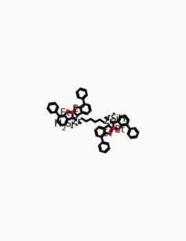 CCC1=Cc2c(-c3ccccc3)cccc2[CH]1[Zr]([CH3])([CH3])([CH2]CCCC[CH2][Zr]([CH3])([CH3])([SiH2]C)([CH]1C(CC)=Cc2c(-c3ccccc3)cccc21)[CH]1C(CC)=Cc2c(-c3ccccc3)cccc21)([SiH2]C)[CH]1C(CC)=Cc2c(-c3ccccc3)cccc21